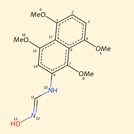 COc1ccc(OC)c2c(OC)c(N[C]=NO)cc(OC)c12